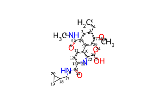 C=Cc1cc(C(=O)NC)c(-c2ccc(C(=O)NCC3CC3)nc2C(=O)O)cc1OC